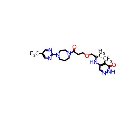 C[C@@H](COCCC(=O)N1CCCN(c2ncc(C(F)(F)F)cn2)CC1)Nc1cn[nH]c(=O)c1C(F)(F)F